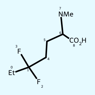 CCC(F)(F)CCC(NC)C(=O)O